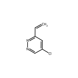 C=Cc1cc(Cl)cnn1